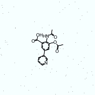 CC(=O)Nc1c(OC(C)=O)cc(-c2cccnc2)cc1C(=O)O